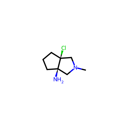 CN1C[C@]2(N)CCC[C@]2(Cl)C1